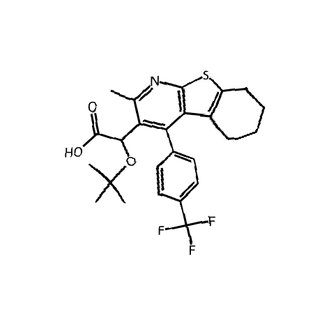 Cc1nc2sc3c(c2c(-c2ccc(C(F)(F)F)cc2)c1C(OC(C)(C)C)C(=O)O)CCCC3